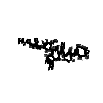 C=CC(=O)Nc1ccc(F)c(-c2nc(Nc3cccc(N4CCOCC4)c3)nc3[nH]ncc23)c1